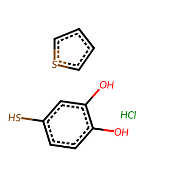 Cl.Oc1ccc(S)cc1O.c1ccsc1